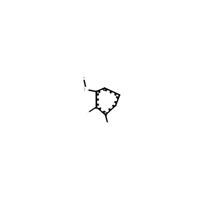 CC(C)Nc1cccc(F)c1[N+](=O)[O-]